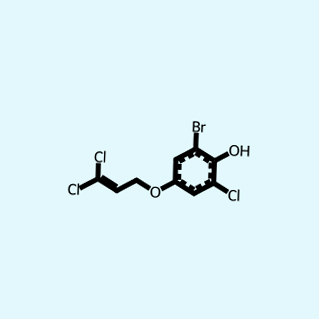 Oc1c(Cl)cc(OCC=C(Cl)Cl)cc1Br